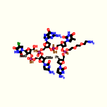 COC1[C@@H](OP(=O)(S)OC[C@H]2O[C@@H](n3cnc4c(=O)[nH]c(N)nc43)C[C@H]2OP(=S)(S)OC[C@H]2O[C@@H](n3cc(C)c(=O)[nH]c3=O)C[C@H]2OP(=S)(OCCOCCOCCN)OC[C@H]2O[C@@H](n3ccc(N)nc3=O)C[C@H]2C(C)C)[C@@H](COP(=O)(S)O[C@@H]2C(OC)[C@H](n3cc(Br)c(=O)[nH]c3=O)O[C@@H]2CO)O[C@H]1n1ccc(N)nc1=O